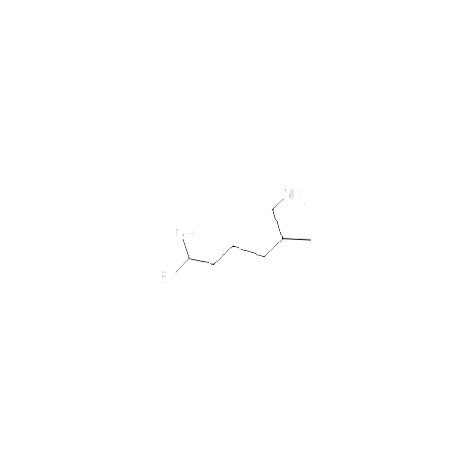 CCC(N)CCCC(C)CN